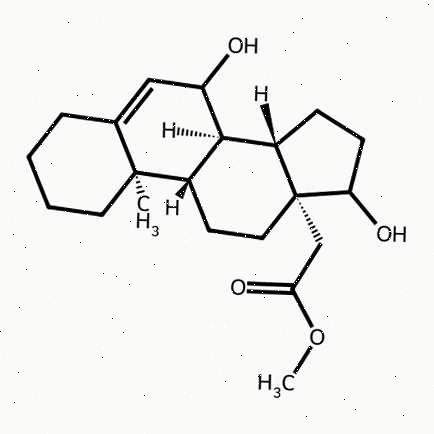 COC(=O)C[C@]12CC[C@H]3[C@@H](C(O)C=C4CCCC[C@@]43C)[C@@H]1CCC2O